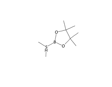 C[SH](C)B1OC(C)(C)C(C)(C)O1